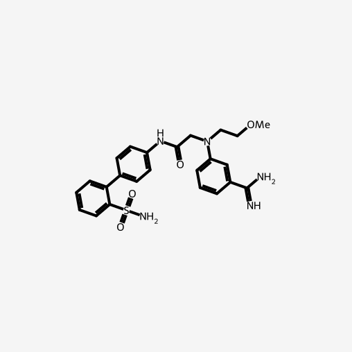 COCCN(CC(=O)Nc1ccc(-c2ccccc2S(N)(=O)=O)cc1)c1cccc(C(=N)N)c1